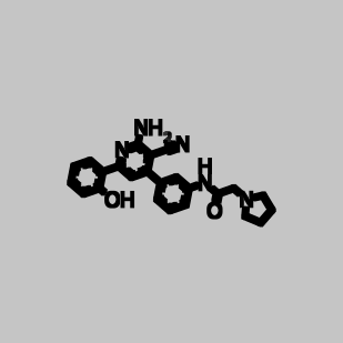 N#Cc1c(-c2cccc(NC(=O)CN3CCCC3)c2)cc(-c2ccccc2O)nc1N